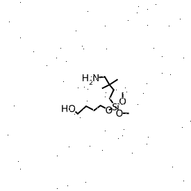 CO[Si](CCC(C)(C)CN)(OC)OCCCCO